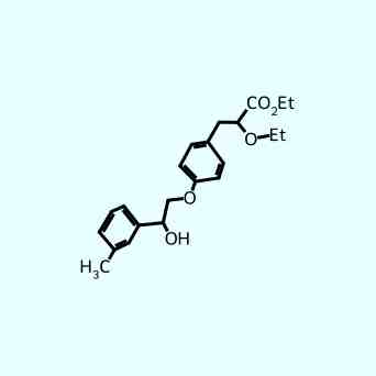 CCOC(=O)C(Cc1ccc(OCC(O)c2cccc(C)c2)cc1)OCC